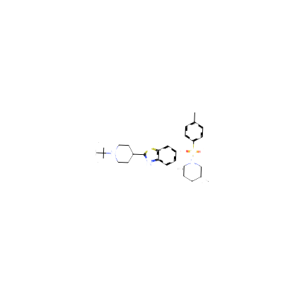 [2H]C([2H])([2H])N1CCC(c2nc3cc([C@H]4CC[C@H](C)CN4S(=O)(=O)c4ccc(C)cc4)ccc3s2)CC1